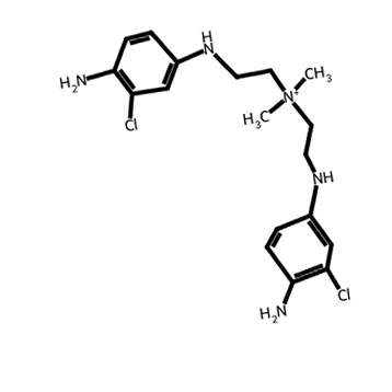 C[N+](C)(CCNc1ccc(N)c(Cl)c1)CCNc1ccc(N)c(Cl)c1